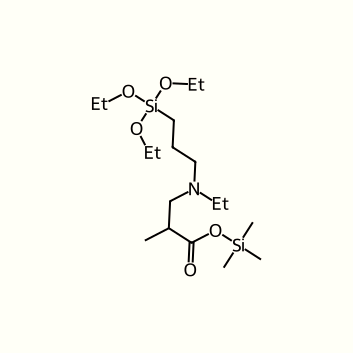 CCO[Si](CCCN(CC)CC(C)C(=O)O[Si](C)(C)C)(OCC)OCC